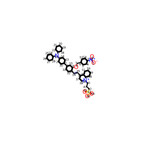 O=[N+]([O-])c1ccc(COc2cc(-c3ccc(N(c4ccccc4)c4ccccc4)cc3)ccc2/C=C/c2cc[n+](CCCS(=O)(=O)[O-])c3ccccc23)cc1